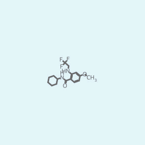 COc1ccc(C(=O)NC2CCCCC2)c(NCC(F)(F)F)c1